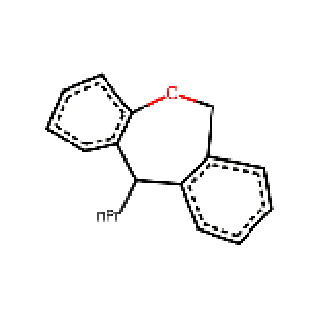 CCCC1c2ccccc2COc2ccccc21